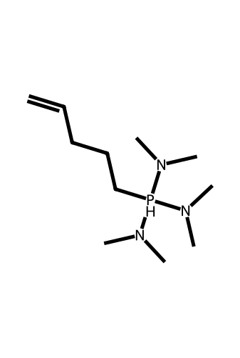 C=CCCC[PH](N(C)C)(N(C)C)N(C)C